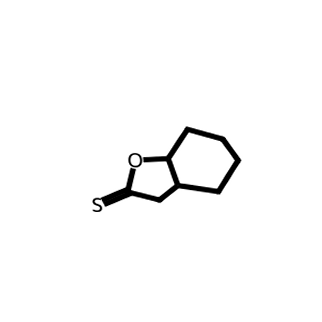 S=C1CC2CCCCC2O1